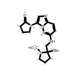 CC(C)(C)C1(CNc2ccc3ncc(N4CCCC4=O)n3n2)CCCN1C(=O)O